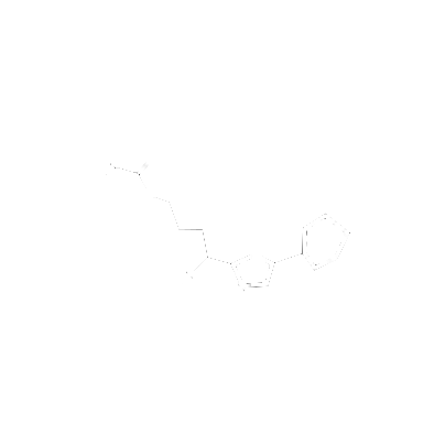 NC(=O)OCCCC(N)c1ncc(-c2ccccc2)o1